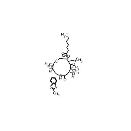 C=CC[C@H]1C(=O)C(C)(C)[C@@H](O)CC(=O)N[C@H](c2ccc3sc(C)nc3c2)C[C@@H]2O[C@]2(C)CCC[C@H](C)[C@@H]1OC(=O)CCCCCC